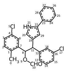 Cc1ccc(Cl)cc1C(OC=O)C(c1cccc(Cl)c1)c1c[nH]c(-c2ccccc2)c1